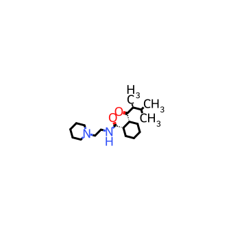 CC(C)[C@H](C)C(=O)[C@@H]1CCCC[C@@H]1C(=O)NCCN1CCCCC1